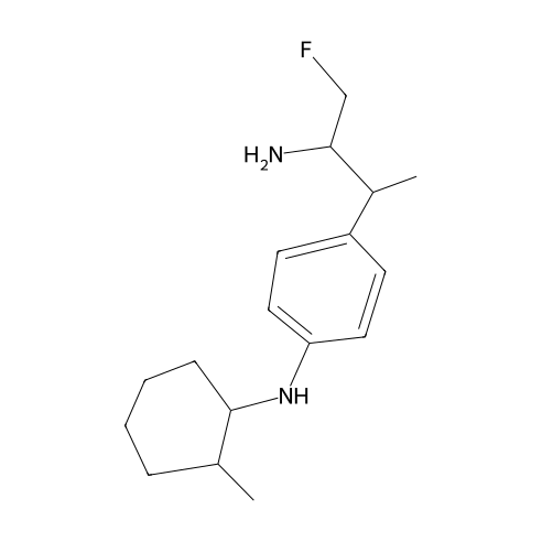 CC1CCCCC1Nc1ccc(C(C)C(N)CF)cc1